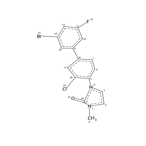 Cn1ccn(-c2ccc(-c3cc(F)cc(Br)c3)cc2Cl)c1=O